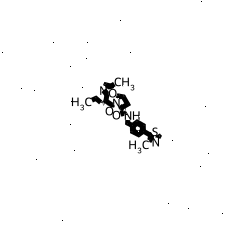 CCC[C@@H](C(=O)N1CCC[C@H]1C(=O)NCc1ccc(-c2scnc2C)cc1)c1ncc(C)o1